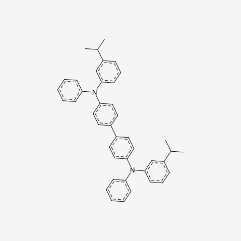 CC(C)c1cccc(N(c2ccccc2)c2ccc(-c3ccc(N(c4ccccc4)c4cccc(C(C)C)c4)cc3)cc2)c1